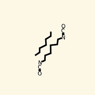 CCCCCCC.O=C=NCCCCCCN=C=O